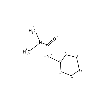 CN(C)C(=O)NC1CC[CH]CC1